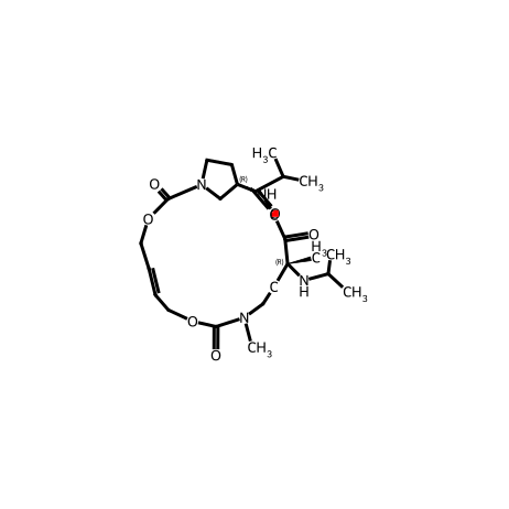 CC(C)N[C@]1(C)CCN(C)C(=O)OCC=CCOC(=O)N2CC[C@](C(=O)C(C)C)(C2)NCC1=O